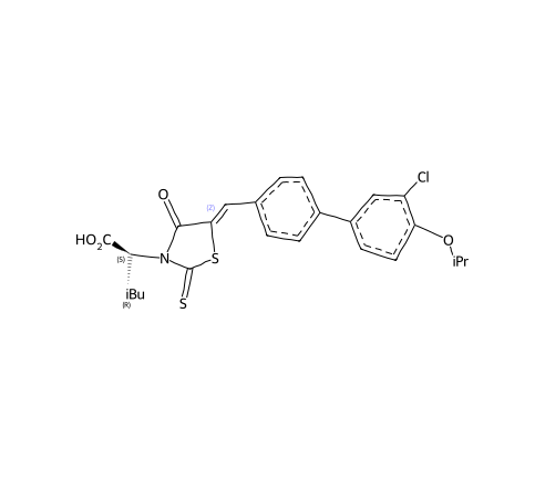 CC[C@@H](C)[C@@H](C(=O)O)N1C(=O)/C(=C/c2ccc(-c3ccc(OC(C)C)c(Cl)c3)cc2)SC1=S